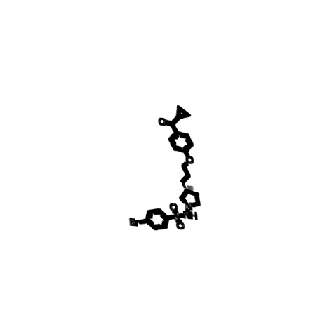 O=C(c1ccc(OCCC[C@@H]2CCN(NS(=O)(=O)c3ccc(Br)cc3)C2)cc1)C1CC1